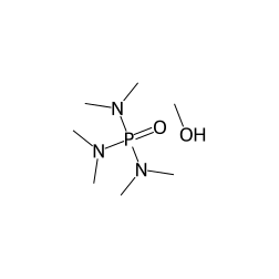 CN(C)P(=O)(N(C)C)N(C)C.CO